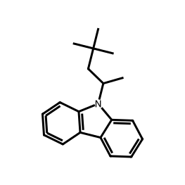 CC(CC(C)(C)C)n1c2c(c3ccccc31)C=C=C=C2